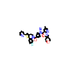 Cc1cnc(N2CC3(CCOCC3)C2)c(C(=O)Nc2ccc(C(=O)N3CCc4cc(-c5ccccn5)sc4-c4ccc(F)cc43)cc2)c1